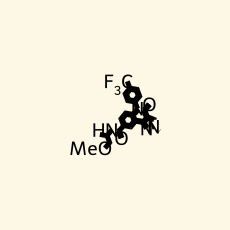 COCC(C)NC(=O)c1ccc2c(c1)c1nn(C)cc1c(=O)n2-c1ccc(C(F)(F)F)cc1